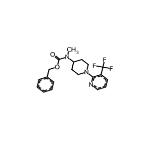 CN(C(=O)OCc1ccccc1)C1CCN(c2ncccc2C(F)(F)F)CC1